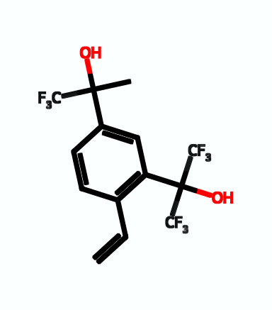 C=Cc1ccc(C(C)(O)C(F)(F)F)cc1C(O)(C(F)(F)F)C(F)(F)F